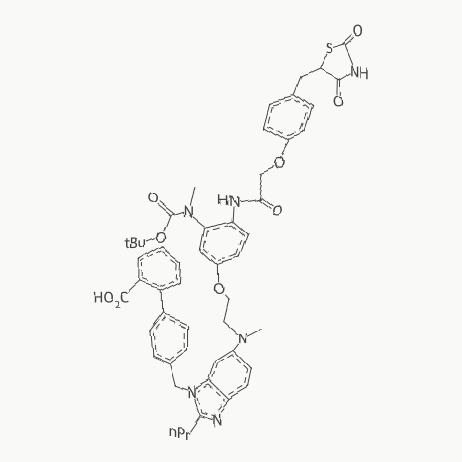 CCCc1nc2ccc(N(C)CCOc3ccc(NC(=O)COc4ccc(CC5SC(=O)NC5=O)cc4)c(N(C)C(=O)OC(C)(C)C)c3)cc2n1Cc1ccc(-c2ccccc2C(=O)O)cc1